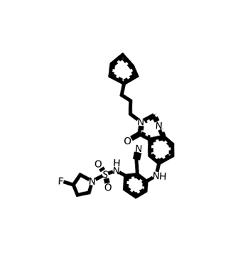 N#Cc1c(Nc2ccc3ncn(CCCc4ccccc4)c(=O)c3c2)cccc1NS(=O)(=O)N1CCC(F)C1